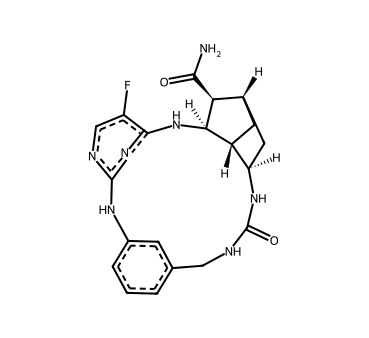 NC(=O)[C@H]1[C@H]2C[C@H]3[C@H]1Nc1nc(ncc1F)Nc1cccc(c1)CNC(=O)N[C@@H]3C2